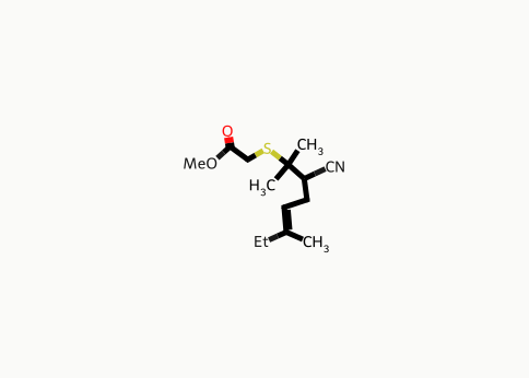 CCC(C)=CCC(C#N)C(C)(C)SCC(=O)OC